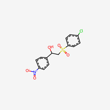 O=[N+]([O-])c1ccc(C(O)CS(=O)(=O)c2ccc(Cl)cc2)cc1